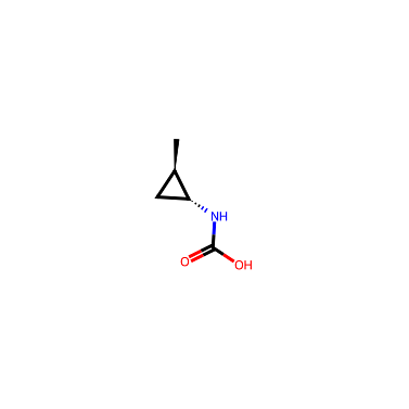 C[C@@H]1C[C@H]1NC(=O)O